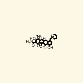 CN(C)[C@@H]1C(O)=C(C(N)=O)C2OO[C@@]23C(O)=C2C(=O)c4c(O)ccc(CN5CCCCO5)c4C[C@H]2C[C@@H]13